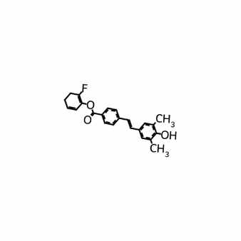 Cc1cc(/C=C/c2ccc(C(=O)OC3=C(F)CCC=C3)cc2)cc(C)c1O